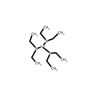 CC[N](CC)[In-2]([N](CC)CC)[N](CC)CC